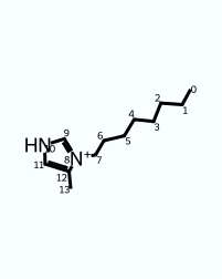 CCCCCCCC[n+]1c[nH]cc1C